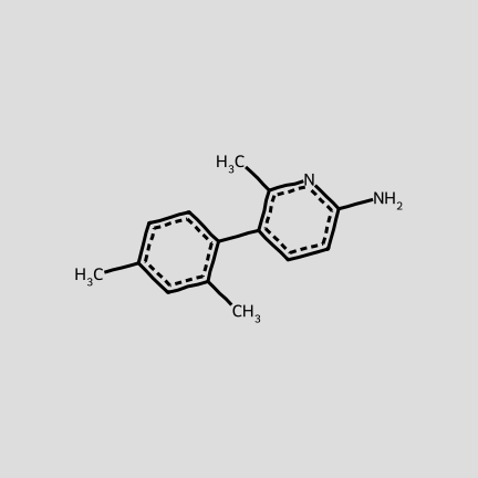 Cc1ccc(-c2ccc(N)nc2C)c(C)c1